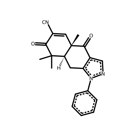 [C-]#[N+]C1=C[C@]2(C)C(=O)c3cnn(-c4ccccc4)c3C[C@H]2C(C)(C)C1=O